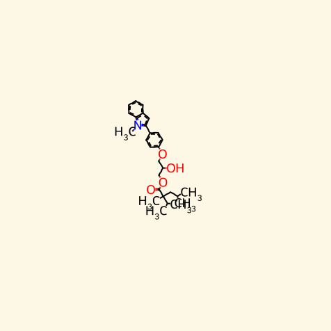 CC(C)CC(C)(C(=O)OCC(O)COc1ccc(-c2cc3ccccc3n2C)cc1)C(C)C